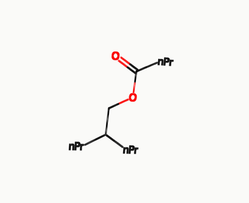 CCCC(=O)OCC(CCC)CCC